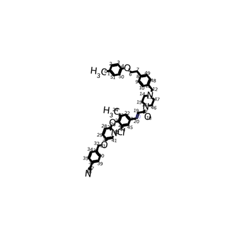 Cc1ccc(OCCc2ccc(CN3CCN(C(=O)/C=C/c4cc(C)c(Oc5ccc(OCc6ccc(C#N)cc6)cn5)c(Cl)c4)CC3)cc2)cc1